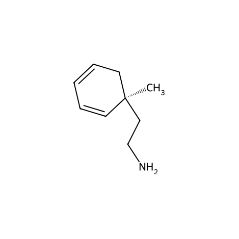 C[C@]1(CCN)C=CC=CC1